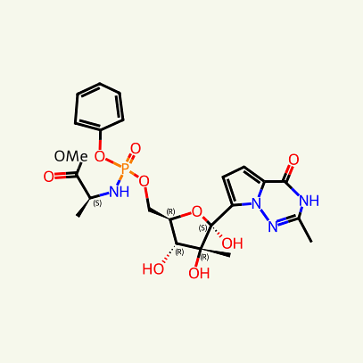 COC(=O)[C@H](C)NP(=O)(OC[C@H]1O[C@@](O)(c2ccc3c(=O)[nH]c(C)nn23)[C@](C)(O)[C@@H]1O)Oc1ccccc1